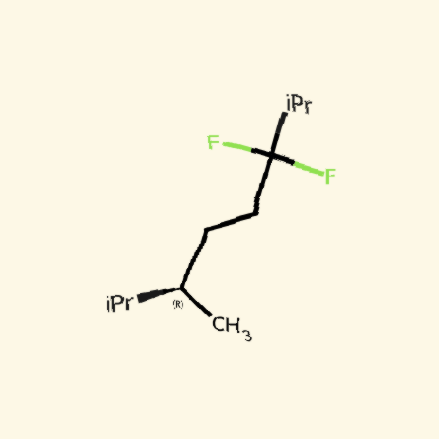 CC(C)[C@H](C)CCC(F)(F)C(C)C